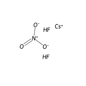 F.F.O=[N+]([O-])[O-].[Cs+]